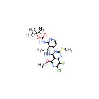 COc1nc(Cl)c(F)c2nc(SC)nc(N[C@H](C)c3cccnc3NC(=O)OC(C)(C)C)c12